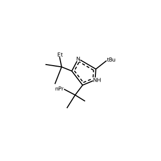 CCCC(C)(C)c1[nH]c(C(C)(C)C)nc1C(C)(C)CC